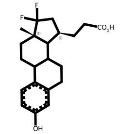 C[C@]12CCC3c4ccc(O)cc4CCC3C1[C@H](CCC(=O)O)CC2(F)F